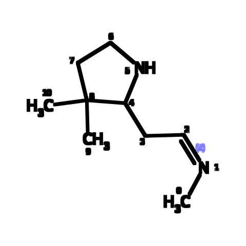 C/N=C\CC1NCCC1(C)C